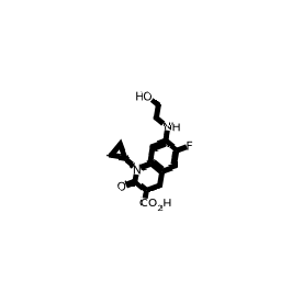 O=C(O)C1Cc2cc(F)c(NCCO)cc2N(C2CC2)C1=O